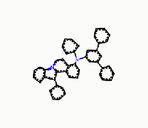 c1ccc(-c2cc(-c3ccccc3)cc(N(c3ccccc3)c3cccc4c3ccn3c5ccccc5c(-c5ccccc5)c43)c2)cc1